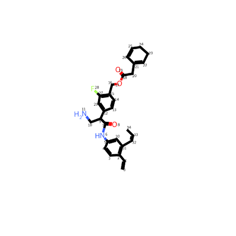 C=Cc1ccc(NC(=O)C(CN)c2ccc(COC(=O)CC3=CCCC=C3)c(F)c2)cc1/C=C\C